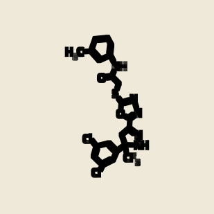 Cc1cccc(NC(=O)CSc2nnc(C3=NNC(c4cc(Cl)cc(Cl)c4)(C(F)(F)F)C3)o2)c1